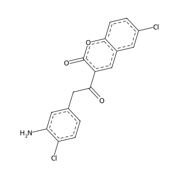 Nc1cc(CC(=O)c2cc3cc(Cl)ccc3oc2=O)ccc1Cl